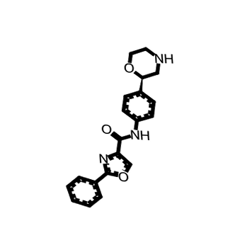 O=C(Nc1ccc([C@@H]2CNCCO2)cc1)c1coc(-c2ccccc2)n1